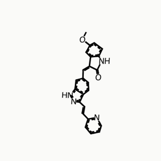 COc1ccc2c(c1)C(=Cc1ccc3c(C=Cc4ccccn4)n[nH]c3c1)C(=O)N2